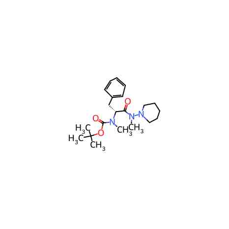 CN(C(=O)OC(C)(C)C)[C@H](Cc1ccccc1)C(=O)N(C)N1CCCCC1